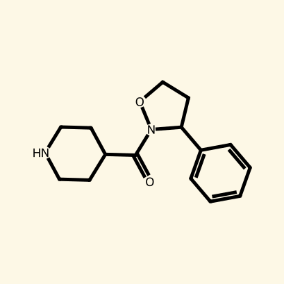 O=C(C1CCNCC1)N1OCCC1c1ccccc1